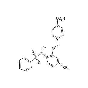 CC(C)N(c1ccc(C(F)(F)F)cc1OCc1ccc(C(=O)O)cc1)S(=O)(=O)c1ccccc1